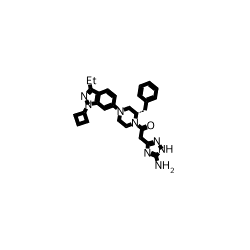 CCc1nn(C2CCC2)c2cc(N3CCN(C(=O)Cc4n[nH]c(N)n4)[C@@H](Cc4ccccc4)C3)ccc12